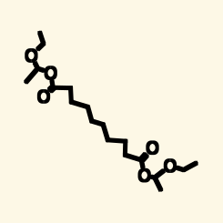 CCOC(C)OC(=O)CCCCCCCCC(=O)OC(C)OCC